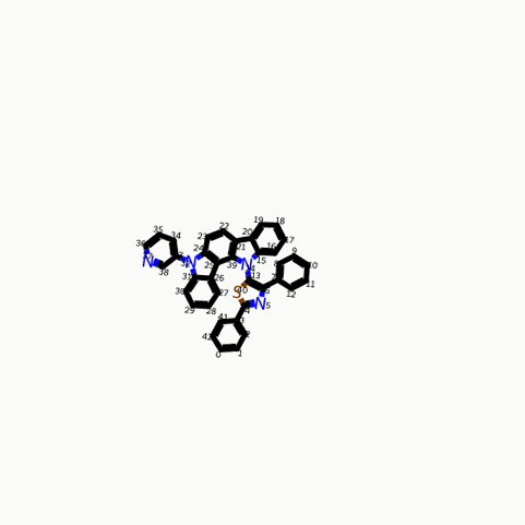 c1ccc(-c2nc(-c3ccccc3)c(-n3c4ccccc4c4ccc5c(c6ccccc6n5-c5cccnc5)c43)s2)cc1